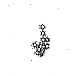 c1ccc(-c2ccc(-c3ccc(N(c4cc5c6c(c4)c4ccccc4n6-c4ccccc4C54c5ccccc5-c5ccccc54)c4ccccc4-c4ccccc4)cc3)cc2)cc1